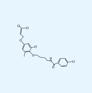 Cc1cc(OCC=C(Cl)Cl)cc(Cl)c1OCCCCNC(=O)c1ccc(Cl)cc1